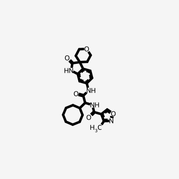 Cc1nocc1C(=O)NC(C(=O)Nc1ccc2c(c1)NC(=O)C21CCOCC1)C1CCCCCCC1